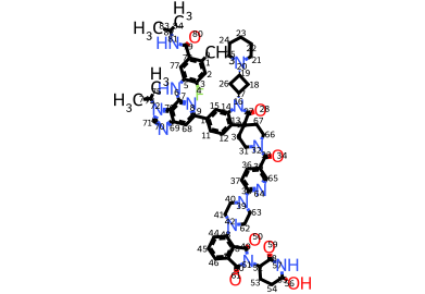 Cc1cc(F)c(Nc2nc(-c3ccc4c(c3)N([C@H]3C[C@@H](N5CCCCC5)C3)C(=O)C43CCN(C(=O)c4ccc(N5CCN(c6cccc7c6C(=O)N(C6CCC(O)NC6=O)C7=O)CC5)nc4)CC3)cc3ncn(C(C)C)c23)cc1C(=O)NC(C)C